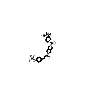 O=C(CCc1ccc(OC(F)(F)F)cc1)N1CC2CN(C(=O)N3CCc4[nH]nnc4C3)CC2C1